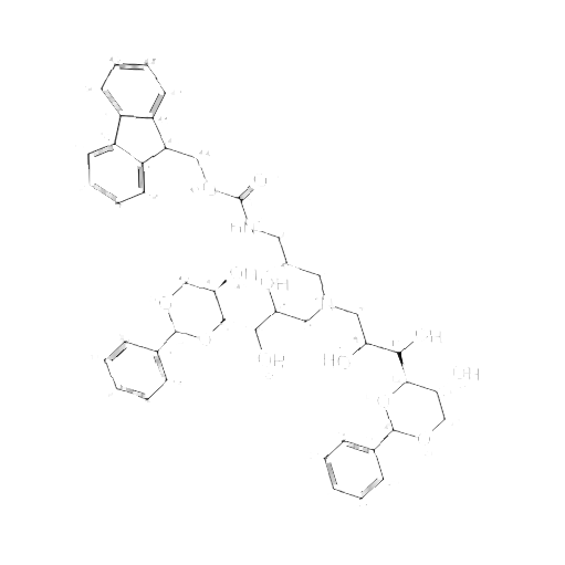 O=C(NCCCN(CC(O)C(O)[C@@H]1OC(c2ccccc2)OC[C@H]1O)CC(O)C(O)[C@@H]1OC(c2ccccc2)OC[C@H]1O)OCC1c2ccccc2-c2ccccc21